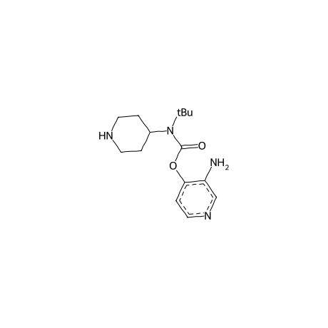 CC(C)(C)N(C(=O)Oc1ccncc1N)C1CCNCC1